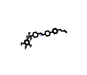 C=CCCc1ccc(C2CCC(/C=C/C3CCC(C(F)(F)Oc4cc(F)c(F)c(F)c4)CC3)CC2)cc1